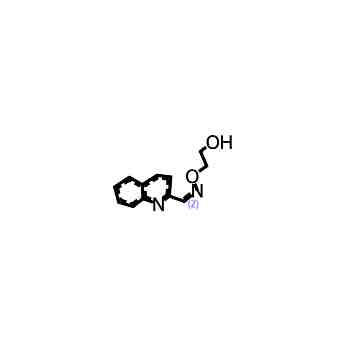 OCCO/N=C\c1ccc2ccccc2n1